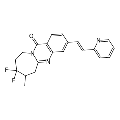 CC1Cc2nc3cc(C=Cc4ccccn4)ccc3c(=O)n2CCC1(F)F